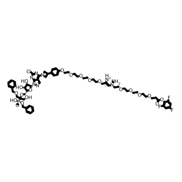 N/C(=C\N(N)CCOCCOCCOCCOCCC(=O)Oc1c(F)cc(F)cc1F)COCCOCCOCCOCCOc1ccc(C2CN(c3nc(Cl)nc4c3cnn4[C@@H]3O[C@H](COC(CO)(COCc4ccccc4)P(=O)(O)OCc4ccccc4)[C@@H](O)[C@H]3O)C2)cc1